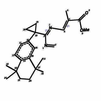 C=N/C(=N\C=C(/C)C(=O)OC)C1(c2ccc3c(c2)C(C)(C)CCC3(C)C)CC1